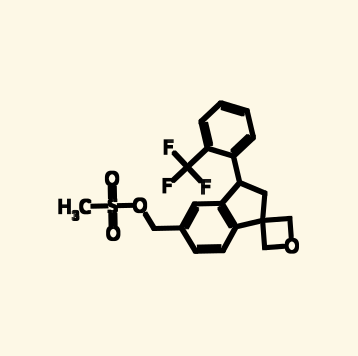 CS(=O)(=O)OCc1ccc2c(c1)C(c1ccccc1C(F)(F)F)CC21COC1